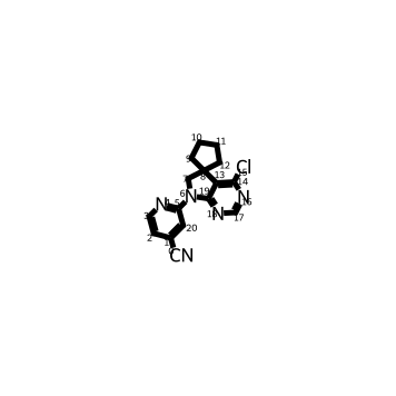 N#Cc1ccnc(N2CC3(CCCC3)c3c(Cl)ncnc32)c1